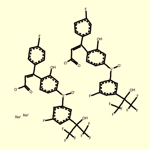 O=C([O-])C=C(c1ccc(F)cc1)c1ccc([S+]([O-])c2cc(F)cc(C(O)(C(F)(F)F)C(F)(F)F)c2)cc1O.O=C([O-])C=C(c1ccc(F)cc1)c1ccc([S+]([O-])c2cc(F)cc(C(O)(C(F)(F)F)C(F)(F)F)c2)cc1O.[Na+].[Na+]